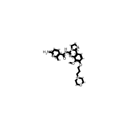 COc1c(OCCCN2CCOCC2)ccc2c1N=C(NC(=O)c1ccc(N)nc1C)N1CCN=C21